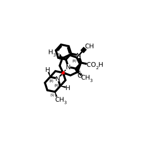 C#C[C@H]1C[C@@H](C)C[C@@H](N2[C@@H]3CC[C@H](C)[C@H]2C[C@@H](n2c(=O)c(C(=O)O)nc4ccccc42)C3)C[C@@H](C)C1